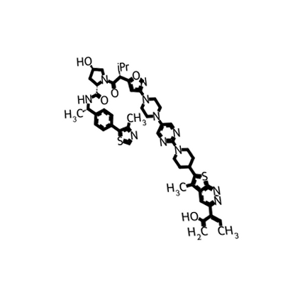 C=C(O)/C(=C\C)c1cc2c(C)c(C3CCN(c4ncc(N5CCN(c6cc([C@H](C(=O)N7C[C@H](O)C[C@H]7C(=O)N[C@@H](C)c7ccc(-c8scnc8C)cc7)C(C)C)on6)CC5)cn4)CC3)sc2nn1